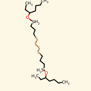 CCCCC(CC)O[SiH2]CCCSSSSCCC[SiH2]OC(CC)CCCC